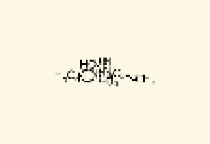 CCCCOC(=O)NC(C)(C(=O)O)N1CCN(CC)CC1